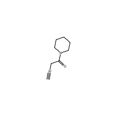 C#[N+]CC(=O)N1CCCCC1